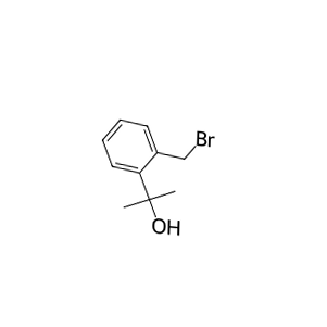 CC(C)(O)c1ccccc1CBr